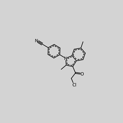 Cc1ccc2c(C(=O)CCl)c(C)n(-c3ccc(C#N)cc3)c2c1